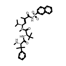 CN[C@H](C(=O)N[C@H](C(=O)N(C)[C@H](C=C(C)C(=O)NS(=O)(=O)c1ccc2ccccc2c1)C(C)C)C(C)(C)C)C(C)(C)c1ccccc1